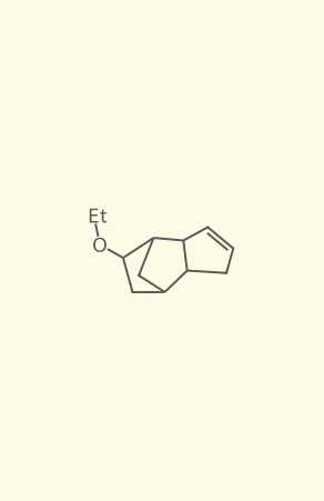 [CH2]COC1CC2CC1C1C=CCC21